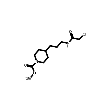 CC(C)(C)OC(=O)N1CCC(CCCNC(=O)CCl)CC1